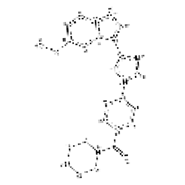 O=C(c1ccc(-n2cc(-c3n[nH]c4ccc(CO)cc34)nn2)cc1)N1CCOCC1